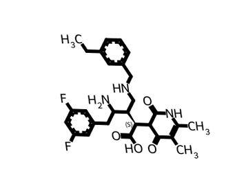 CCc1cccc(CNCC(C(N)Cc2cc(F)cc(F)c2)[C@H](C(=O)O)C2C(=O)NC(C)=C(C)C2=O)c1